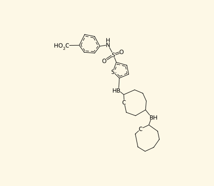 O=C(O)c1ccc(NS(=O)(=O)c2ccc(BC3CCCC(BC4CCCCCCC4)CCC3)s2)cc1